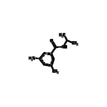 Cc1cc(N)cc(C(=O)NC(C)C)c1